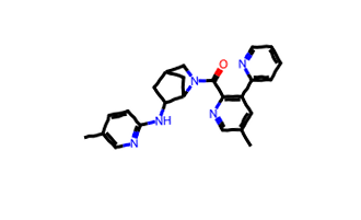 Cc1ccc(NC2CC3CC2N(C(=O)c2ncc(C)cc2-c2ccccn2)C3)nc1